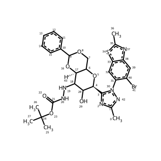 Cc1nc([C@@H]2OC3COC(c4ccccc4)O[C@@H]3C(NNC(=O)OC(C)(C)C)C2O)n(-c2cc3sc(C)nc3cc2Br)n1